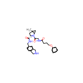 C[C@@]12CC1N(C(=O)CNC(=O)CCCOc1ccccc1)[C@H](C(=O)NCc1ccc3c(c1)CNC3)C2